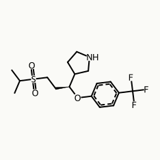 CC(C)S(=O)(=O)CC[C@H](Oc1ccc(C(F)(F)F)cc1)C1CCNC1